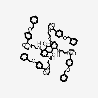 O=C1c2c(NCCN3CCOC3c3ccc(OCc4ccccc4)cc3)ccc(NCCN3CCOC3c3ccc(OCc4ccccc4)cc3)c2C(=O)c2c(NCCN3CCOC3c3ccc(OCc4ccccc4)cc3)ccc(NCCN3CCOC3c3ccc(OCc4ccccc4)cc3)c21